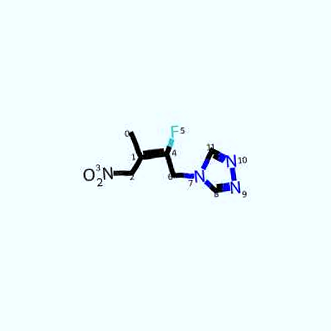 CC(C[N+](=O)[O-])=C(F)Cn1cnnc1